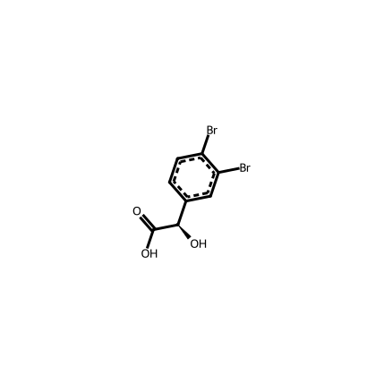 O=C(O)[C@H](O)c1ccc(Br)c(Br)c1